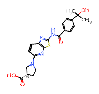 CC(C)(O)c1ccc(C(=O)Nc2nc3ccc(N4CC[C@H](C(=O)O)C4)nc3s2)cc1